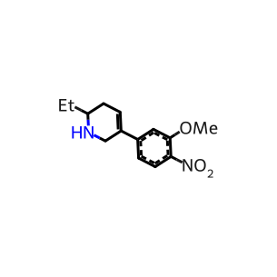 CCC1CC=C(c2ccc([N+](=O)[O-])c(OC)c2)CN1